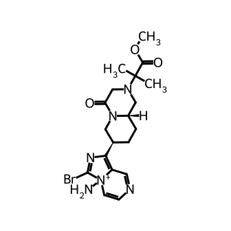 COC(=O)C(C)(C)N1CC(=O)N2C[C@H](C3=C4C=NC=C[N+]4(N)C(Br)=N3)CC[C@H]2C1